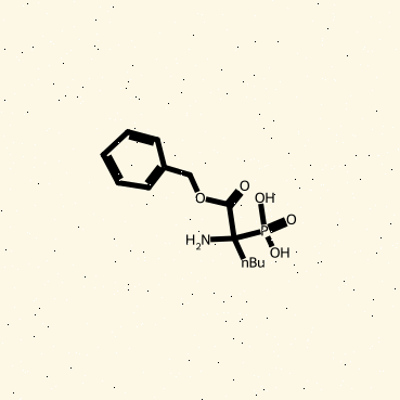 CCCCC(N)(C(=O)OCc1ccccc1)P(=O)(O)O